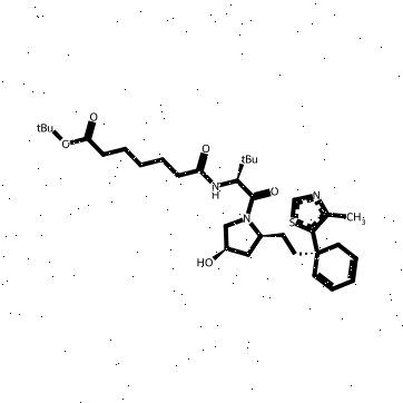 Cc1ncsc1[C@]1(CC[C@H]2C[C@@H](O)CN2C(=O)[C@@H](NC(=O)CCCCCC(=O)OC(C)(C)C)C(C)(C)C)C=CC=CC1